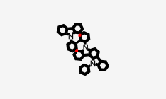 c1ccc(-n2c3ccccc3c3ccc4c(c5ccccc5n4-c4ccccc4-c4ccccc4-n4c5ccccc5c5ccccc54)c32)cc1